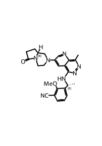 COc1c(C#N)cccc1[C@@H](C)Nc1nnc(C)c2ncc(N3CCN4C(=O)CC[C@@H]4C3)cc12